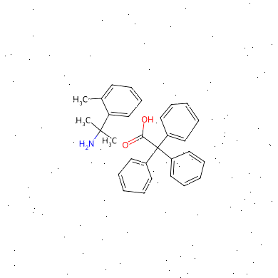 Cc1ccccc1C(C)(C)N.O=C(O)C(c1ccccc1)(c1ccccc1)c1ccccc1